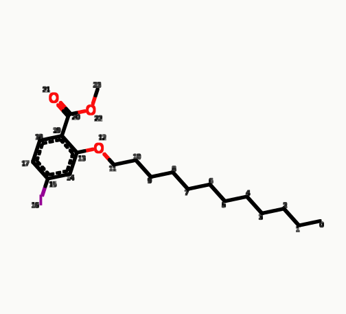 CCCCCCCCCCCCOc1cc(I)ccc1C(=O)OC